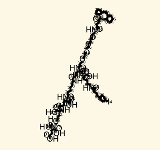 O=C(O)CCC(C(=O)O)N(COCCC[C@H](NC(=O)CC[C@H](NC(=O)CCCCCNC(=O)CCC(NC(=O)CCOCCOCCOCCOCCNC(=O)CCC(=O)N1Cc2ccccc2C#Cc2ccccc21)C(=O)NC(CCCCNC(=O)CCCc1ccc(I)cc1)C(=O)O)C(=O)O)C(=O)O)PO